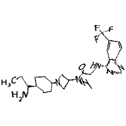 CCC(N)[C@H]1CC[C@@H](N2CC(NC(=O)CNc3ncnc4ccc(C(F)(F)F)cc34)C2)CC1